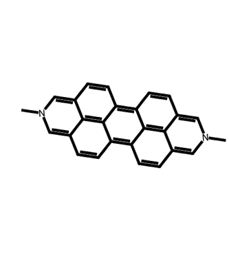 CN1C=c2ccc3c4ccc5c6c(ccc(c7ccc(c2c37)=C1)c64)=CN(C)C=5